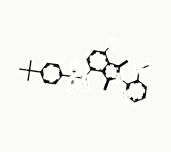 C=c1c2c(Cl)ccc(NS(=O)(=O)c3ccc(C(C)(C)C)cc3)c2c(=C)n1-c1ncccc1OC